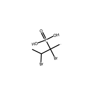 [CH2]C(Br)(C(C)Br)P(=O)(O)O